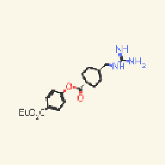 CCOC(=O)c1ccc(OC(=O)[C@H]2CC[C@H](CNC(=N)N)CC2)cc1